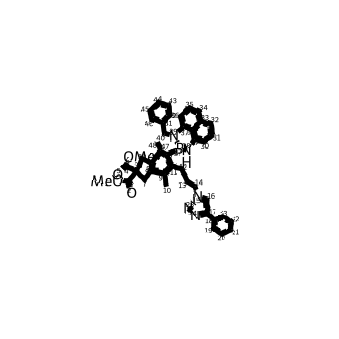 COC(=O)C1(C(=O)OC)Cc2c(C)c(CCCn3cc(-c4ccccc4)nn3)c(B3Nc4cccc5cccc(c45)N3Cc3ccccc3)c(C)c2C1